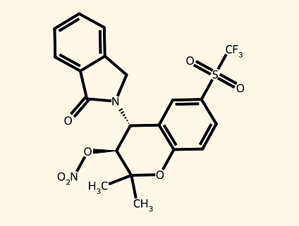 CC1(C)Oc2ccc(S(=O)(=O)C(F)(F)F)cc2[C@@H](N2Cc3ccccc3C2=O)[C@@H]1O[N+](=O)[O-]